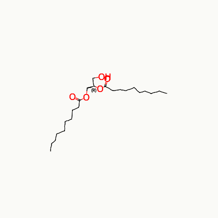 CCCCCCCCCC(=O)OC[C@@H](CO)OC(=O)CCCCCCCCC